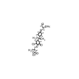 CCS(=O)(=O)C[C@@H](C)COc1c(Cl)cc(C(C)(C)c2ccc(OC[C@H](CCl)OC(C)=O)cc2)cc1Cl